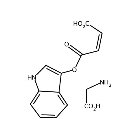 NCC(=O)O.O=C(O)/C=C\C(=O)Oc1c[nH]c2ccccc12